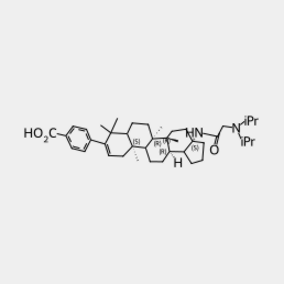 CC(C)N(CC(=O)N[C@]12CCCC1[C@H]1CCC3[C@@]4(C)CC=C(c5ccc(C(=O)O)cc5)C(C)(C)C4CC[C@@]3(C)[C@]1(C)CC2)C(C)C